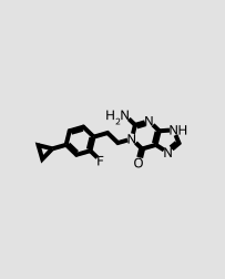 Nc1nc2[nH]cnc2c(=O)n1CCc1ccc(C2CC2)cc1F